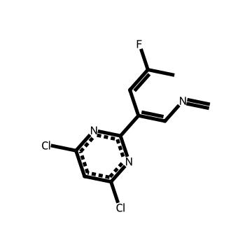 C=N/C=C(\C=C(/C)F)c1nc(Cl)cc(Cl)n1